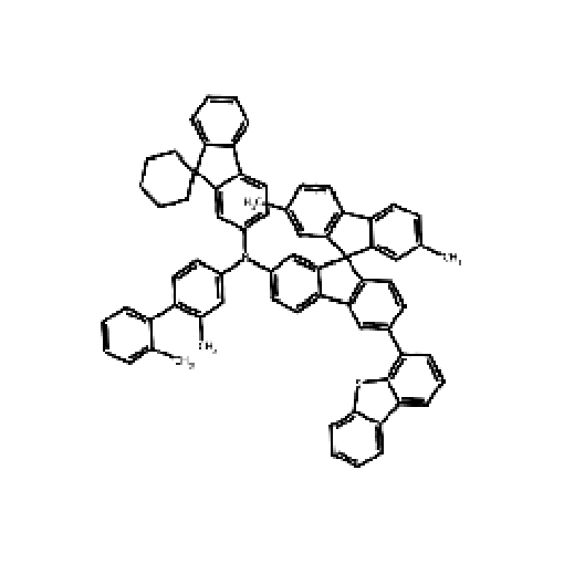 Cc1ccc2c(c1)C1(c3ccc(-c4cccc5c4sc4ccccc45)cc3-c3ccc(N(c4ccc(-c5ccccc5C)c(C)c4)c4ccc5c(c4)C4(CCCCC4)c4ccccc4-5)cc31)c1cc(C)ccc1-2